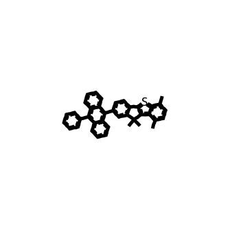 Cc1ccc(C)c2c3c(sc12)-c1ccc(-c2c4ccccc4c(-c4ccccc4)c4ccccc24)cc1C3(C)C